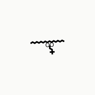 CCCCCCCCC(CCCCCCCC)OC(=O)CCC(C)(C)C